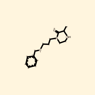 CC1NCCN(CCCOCc2ccccc2)C1=O